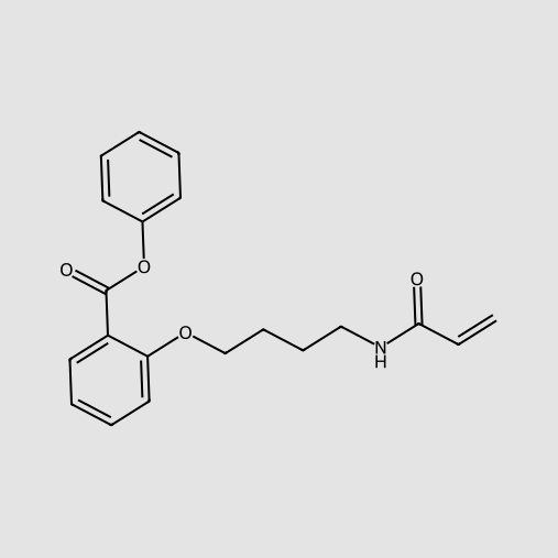 C=CC(=O)NCCCCOc1ccccc1C(=O)Oc1ccccc1